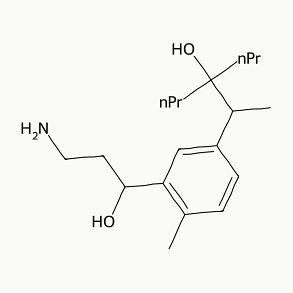 CCCC(O)(CCC)C(C)c1ccc(C)c(C(O)CCN)c1